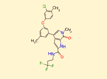 Cc1cc(Oc2ccc(C)c(Cl)c2)cc(-c2cn(C)c(=O)c3[nH]c(C(=O)NCCC(F)(F)F)cc23)c1